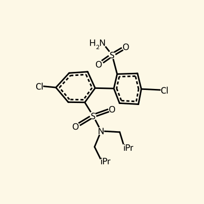 CC(C)CN(CC(C)C)S(=O)(=O)c1cc(Cl)ccc1-c1ccc(Cl)cc1S(N)(=O)=O